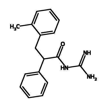 Cc1ccccc1CC(C(=O)NC(=N)N)c1ccccc1